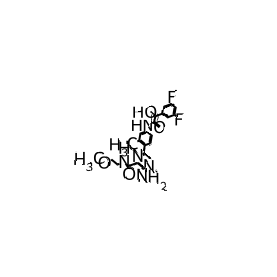 COCCNC(=O)c1nc(-c2ccc(NC(=O)[C@@H](O)c3cc(F)cc(F)c3)cc2C)cnc1N